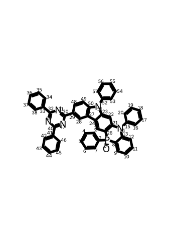 O=P1(c2ccccc2)c2ccccc2N(c2ccccc2)c2cc3c(cc21)c1cc(-c2nc(-c4ccccc4)nc(-c4ccccc4)n2)ccc1n3-c1ccccc1